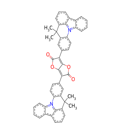 CC1(C)c2cc(C3=C4OC(=O)C(c5ccc6c(c5)C(C)(C)c5cccc7c8ccccc8n-6c57)=C4OC3=O)ccc2-n2c3ccccc3c3cccc1c32